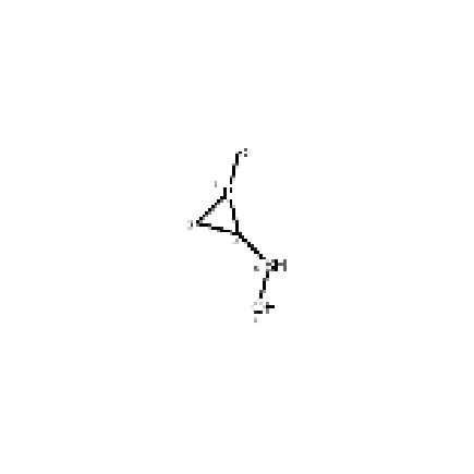 CP1CC1BO